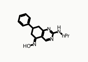 CCCNc1ncc2c(n1)CC(c1ccccc1)C/C2=N\O